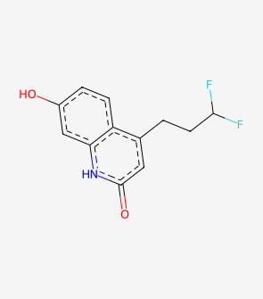 O=c1cc(CCC(F)F)c2ccc(O)cc2[nH]1